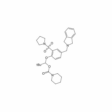 CC(C)(C)C(OC(=O)N1CCCCC1)Oc1ccc(CN2Cc3ccccc3C2)cc1S(=O)(=O)N1CCCC1